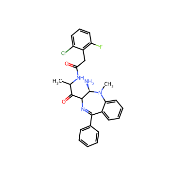 CC(NC(=O)Cc1c(F)cccc1Cl)C(=O)C1N=C(c2ccccc2)c2ccccc2N(C)[C@@H]1N